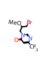 COC(CBr)Cn1cnc(C(F)(F)F)cc1=O